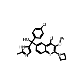 Cc1ncc(C(O)(c2ccc(Cl)cc2)c2ccc3nc(N4CCC4)c(OC(C)C)c(Cl)c3c2)[nH]1